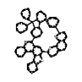 c1ccc(-c2ccc3ccc4ccc(-c5cc6c(-c7ccc8c(c7)C(c7ccccc7)(c7ccccc7)c7ccccc7-8)nc7ccccc7c6c6c5oc5ccccc56)nc4c3n2)cc1